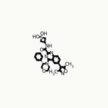 Cc1noc(C)c1-c1ccc2nc(C(=O)NC3CS(O)(O)C3)nc(N3CCOC[C@@H]3c3ccccc3)c2c1